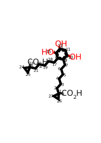 O=C(O)C1(CCCCCCc2c(O)cc(O)c(O)c2CCCCCC2(C(=O)O)CC2)CC1